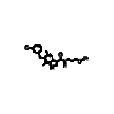 Cc1nc2c(C(=O)NCCCOC(C)C)cnn2c(C)c1Cc1cccc(Cl)c1